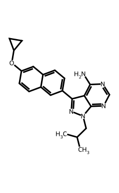 CC(C)Cn1nc(-c2ccc3cc(OC4CC4)ccc3c2)c2c(N)ncnc21